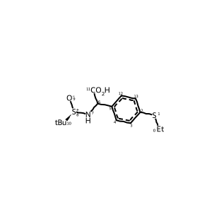 CCSc1ccc(C(N[S@+]([O-])C(C)(C)C)C(=O)O)cc1